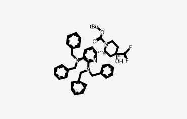 CC(C)(C)OC(=O)N1CC[C@](O)(C(F)F)C[C@@H]1c1ccc(N(Cc2ccccc2)Cc2ccccc2)c(N(Cc2ccccc2)Cc2ccccc2)n1